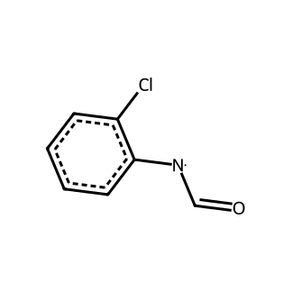 O=C[N]c1ccccc1Cl